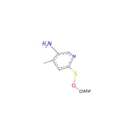 COOSc1cc(C)c(N)cn1